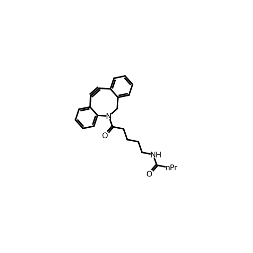 CCCC(=O)NCCCCC(=O)N1Cc2ccccc2C#Cc2ccccc21